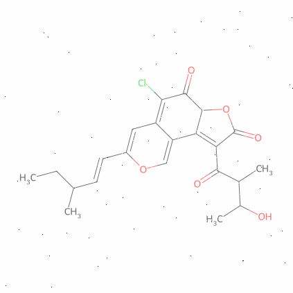 CCC(C)/C=C/C1=CC2=C(Cl)C(=O)C3OC(=O)C(C(=O)C(C)C(C)O)=C3C2=CO1